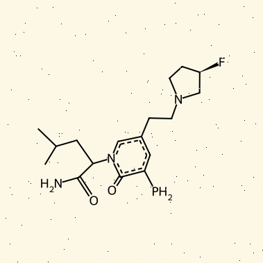 CC(C)CC(C(N)=O)n1cc(CCN2CC[C@@H](F)C2)cc(P)c1=O